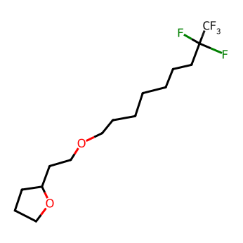 FC(F)(F)C(F)(F)CCCCCCCOCCC1CCCO1